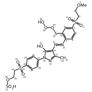 COCCS(=O)(=O)c1ccc(N=Nc2c(C)nn(-c3ccc(S(=O)(=O)CCOS(=O)(=O)O)cc3)c2O)c(SOOO)c1